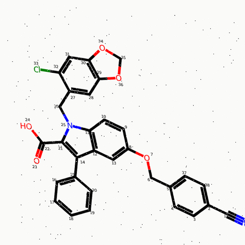 N#Cc1ccc(COc2ccc3c(c2)c(-c2ccccc2)c(C(=O)O)n3Cc2cc3c(cc2Cl)OCO3)cc1